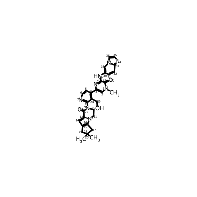 Cn1cc(-c2ccnc(N3CCn4c(cc5c4CC(C)(C)C5)C3=O)c2CO)nc(Nc2ccc3nccn3c2)c1=O